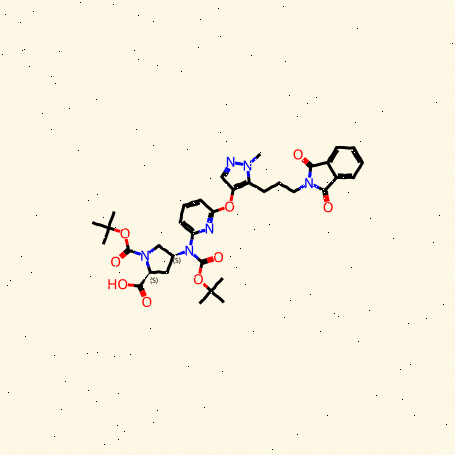 Cn1ncc(Oc2cccc(N(C(=O)OC(C)(C)C)[C@H]3C[C@@H](C(=O)O)N(C(=O)OC(C)(C)C)C3)n2)c1CCCN1C(=O)c2ccccc2C1=O